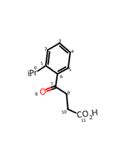 CC(C)c1ccccc1C(=O)CCC(=O)O